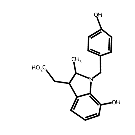 CC1C(CC(=O)O)c2cccc(O)c2N1Cc1ccc(O)cc1